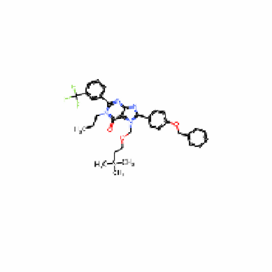 CCCn1c(-c2cccc(C(F)(F)F)c2)nc2nc(-c3ccc(OCc4ccccc4)cc3)n(COCC[Si](C)(C)C)c2c1=O